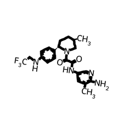 Cc1cc(NC(=O)C(=O)N2C[C@H](C)CC[C@H]2c2ccc(NCC(F)(F)F)cc2)cnc1N